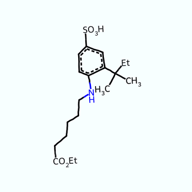 CCOC(=O)CCCCCNc1ccc(S(=O)(=O)O)cc1C(C)(C)CC